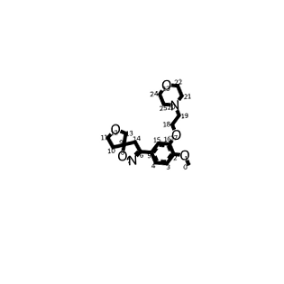 COc1ccc(C2=NOC3(CCOC3)C2)cc1OCCN1CCOCC1